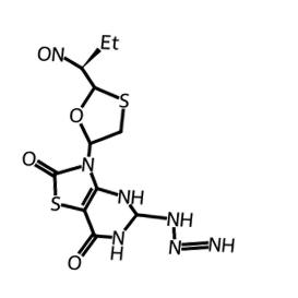 CC[C@H](N=O)C1OC(n2c3c(sc2=O)C(=O)NC(NN=N)N3)CS1